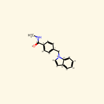 CNC(=O)c1ccc(Cn2ccc3ccccc32)cc1